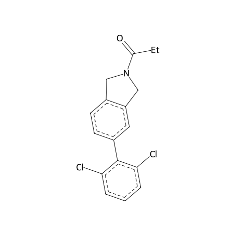 CCC(=O)N1Cc2ccc(-c3c(Cl)cccc3Cl)cc2C1